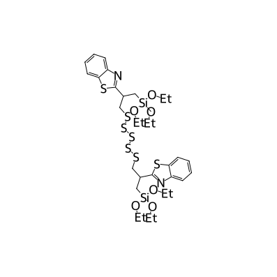 CCO[Si](CC(CSSSSSCC(C[Si](OCC)(OCC)OCC)c1nc2ccccc2s1)c1nc2ccccc2s1)(OCC)OCC